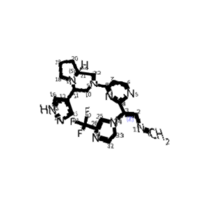 C=N/C=C(/c1nccc(N2CC(c3cn[nH]c3)N3CCC[C@H]3C2)n1)N1C=C(C(F)(F)F)N=CC1